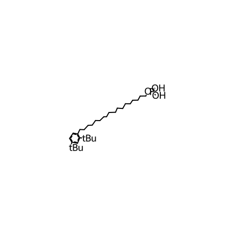 CC(C)(C)c1ccc(CCCCCCCCCCCCCCCCCCOP(O)O)c(C(C)(C)C)c1